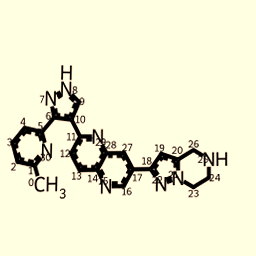 Cc1cccc(-c2n[nH]cc2-c2ccc3ncc(-c4cc5n(n4)CCNC5)cc3n2)n1